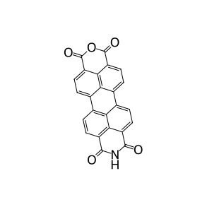 O=C1NC(=O)c2ccc3c4ccc5c6c(ccc(c7ccc1c2c73)c64)C(=O)OC5=O